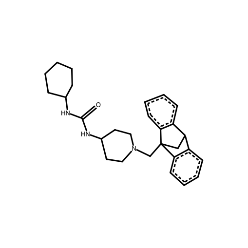 O=C(NC1CCCCC1)NC1CCN(CC23CC(c4ccccc42)c2ccccc23)CC1